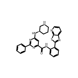 O=C(Nc1ccccc1-c1nc2cccnc2s1)c1cc(N[C@@H]2CCCNC2)nc(-c2ccccc2)n1